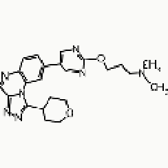 CN(C)CCCOc1ncc(-c2ccc3ncc4nnc(C5CCOCC5)n4c3c2)cn1